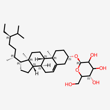 CC[C@H](CC[C@@H](C)[C@H]1CC[C@H]2[C@@H]3CC=C4C[C@@H](O[C@@H]5OC(CO)[C@@H](O)C(O)C5O)CC[C@]4(C)[C@H]3CC[C@]12C)C(C)C